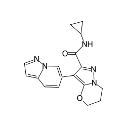 O=C(NC1CC1)c1nn2c(c1-c1ccc3ccnn3c1)OCCC2